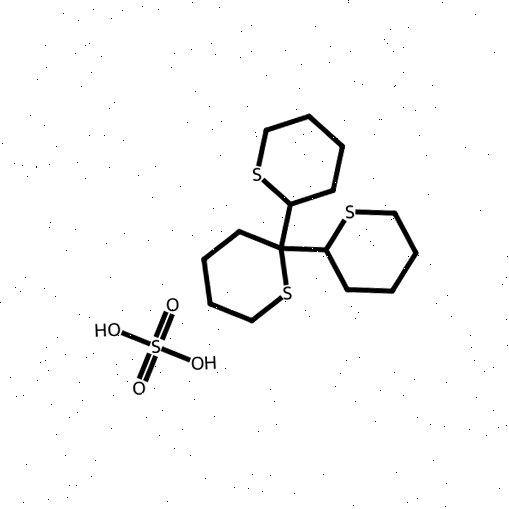 C1CCC(C2(C3CCCCS3)CCCCS2)SC1.O=S(=O)(O)O